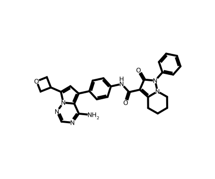 Nc1ncnn2c(C3COC3)cc(-c3ccc(NC(=O)c4c5n(n(-c6ccccc6)c4=O)CCCC5)cc3)c12